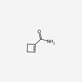 NC(=O)C1=CCC1